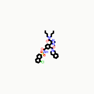 CCCCN(CCCC)C(=O)c1ncn(C)c1-c1ccc(C(=O)NS(=O)(=O)c2ccc3cccc(Cl)c3c2)cc1C(=O)N1CCc2ccccc2C1